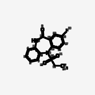 O=C1Nc2ccccc2N(S(=O)(=O)CC(F)(F)F)c2ccc(F)cc21